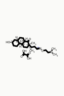 C[C@@H](C/C=N/OCCN(C)C)[C@@]1(C)CC[C@H]2[C@@H](CC[C@@H]3C[C@@H](O)CC[C@@]32C)C1=O.O=C(O)C(=O)O